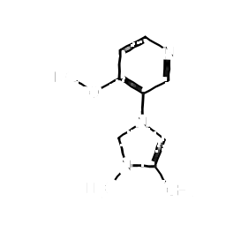 COc1ccncc1N1C=C(C)N(C)C1